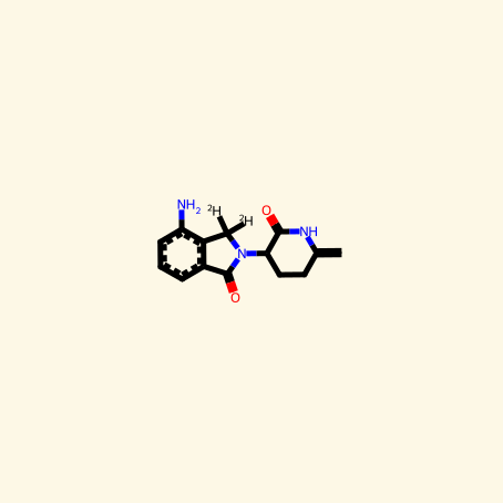 [2H]C1([2H])c2c(N)cccc2C(=O)N1C1CCC(=C)NC1=O